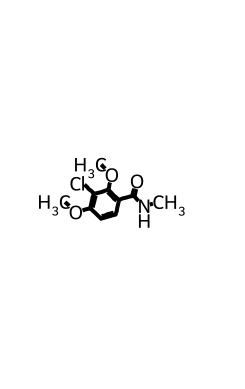 CNC(=O)c1ccc(OC)c(Cl)c1OC